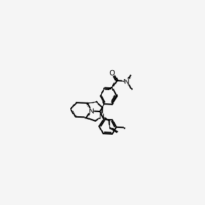 C=CCN1CCC2CCCC(C1)N2C(c1ccc(C(=O)N(C)C)cc1)c1cccc(C)c1